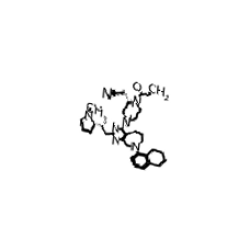 C=CC(=O)N1CCN(c2nc(CC[C@@H]3CCCN3C)nc3c2CCCN(c2cccc4c2CCCC4)C3)C[C@@H]1CC#N